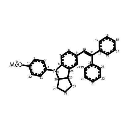 COc1ccc(N2c3ccc(C=C(c4ccccc4)c4ccccc4)cc3C3CCCC32)cc1